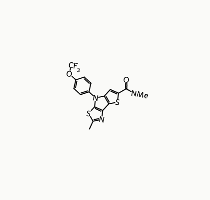 CNC(=O)c1cc2c(s1)c1nc(C)sc1n2-c1ccc(OC(F)(F)F)cc1